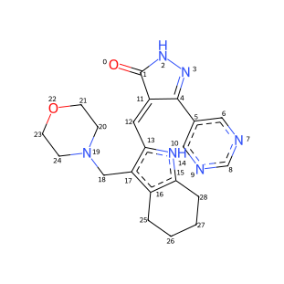 O=C1NN=C(c2cncnc2)/C1=C\c1[nH]c2c(c1CN1CCOCC1)CCCC2